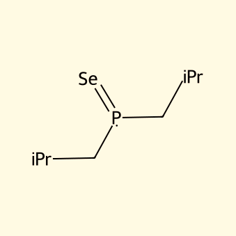 CC(C)C[P](=[Se])CC(C)C